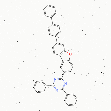 c1ccc(-c2ccc(-c3ccc4c(c3)oc3ccc(-c5nc(-c6ccccc6)nc(-c6ccccc6)n5)cc34)cc2)cc1